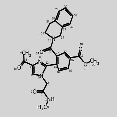 CNC(=O)Cn1cc(C(C)=O)nc1-c1ccc(C(=O)OC)cc1C(=O)N1CCc2ccccc2C1